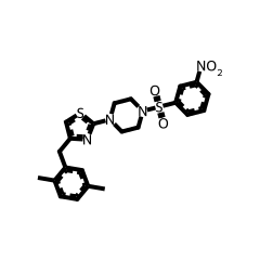 Cc1ccc(C)c(Cc2csc(N3CCN(S(=O)(=O)c4cccc([N+](=O)[O-])c4)CC3)n2)c1